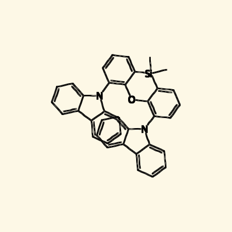 C[Si]1(C)c2cccc(-n3c4ccccc4c4ccccc43)c2Oc2c(-n3c4ccccc4c4ccccc43)cccc21